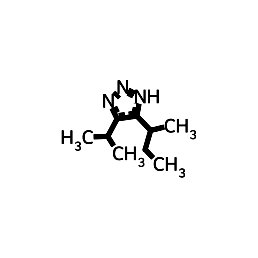 CCC(C)c1[nH]nnc1C(C)C